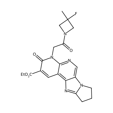 CCOC(=O)c1cc2c3nc4n(c3cnc2n(CC(=O)N2CC(C)(F)C2)c1=O)CCC4